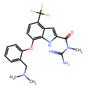 CN(C)Cc1ccccc1Oc1ccc(C(F)(F)F)c2cc(C(=O)N(C)C(=N)N)[nH]c12